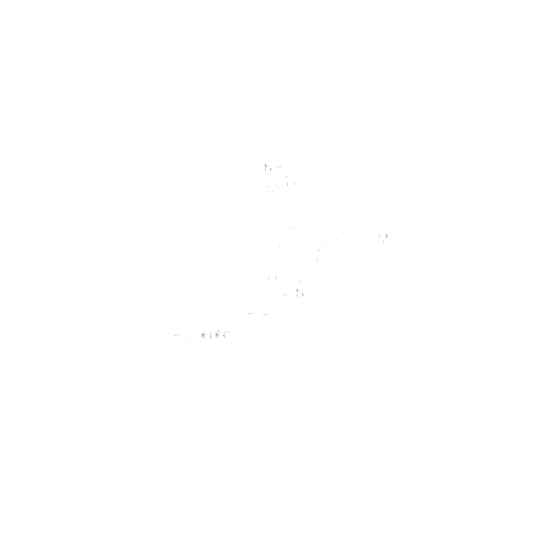 COc1ccc(-c2nc(CCC(=O)N(C)O)oc2-c2ccc(S(N)(=O)=O)cc2)cc1